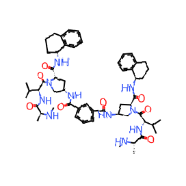 CN[C@@H](C)C(=O)N[C@H](C(=O)N1C[C@@H](NC(=O)c2cccc(C(=O)N[C@H]3C[C@@H](C(=O)N[C@@H]4CCCc5ccccc54)N(C(=O)[C@@H](NC(=O)[C@H](C)NC)C(C)C)C3)c2)C[C@H]1C(=O)N[C@@H]1CCCc2ccccc21)C(C)C